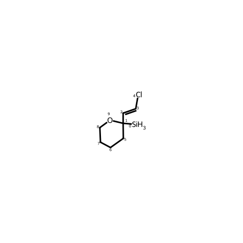 [SiH3]C1(C=CCl)CCCCO1